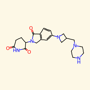 O=C1CCC(N2Cc3cc(N4CC(CN5CCNCC5)C4)ccc3C2=O)C(=O)N1